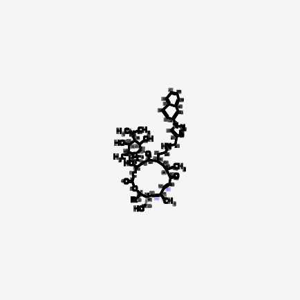 CC[C@H]1OC(=O)C[C@@H](O)[C@H](C)[C@@H](O[C@@H]2O[C@H](C)[C@@H](O)C(N(C)C)C2O)[C@@H](CCNCc2cn(-c3ccc4ccccc4c3)nn2)C[C@@H](C)C(=O)/C=C/C(C)=C/[C@@H]1CO